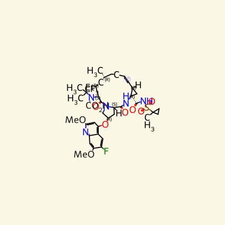 CC[C@@H]1C[C@H](C)CC/C=C\[C@@H]2C[C@@]2(C(=O)NS(=O)(=O)C2(C)CC2)NC(=O)[C@@H]2C[C@@H](Oc3cc(OC)nc4cc(OC)c(F)cc34)CN2C(=O)[C@H]1N(C(=O)O)C(C)(C)C(F)(F)F